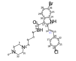 CN1CCN(CCCCBC(=O)c2c(/C=C/c3ccc(Cl)cc3)[nH]c3cc(Br)ccc23)CC1